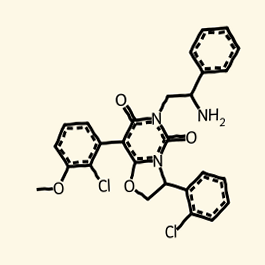 COc1cccc(-c2c3n(c(=O)n(CC(N)c4ccccc4)c2=O)C(c2ccccc2Cl)CO3)c1Cl